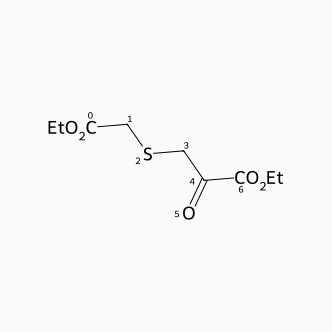 CCOC(=O)CSCC(=O)C(=O)OCC